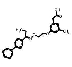 CC/C(=N\OCCOc1cc(C)cc(CC(=O)O)c1)c1ccc(-c2ccccc2)cc1